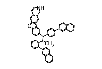 C[C@@H](c1ccccc1-c1ccc2ccccc2c1)C(c1ccc(-c2ccc3ccccc3c2)cc1)c1ccc2oc3cc4c(cc3c2c1)CNC=C4